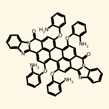 Nc1ccccc1Oc1cc2c(=O)n3c4ccccc4nc3c3cc(Oc4ccccc4N)c4c5c(Oc6ccccc6N)cc6c7c(cc(Oc8ccccc8N)c(c1c4c23)c57)c(=O)n1c2ccccc2nc61